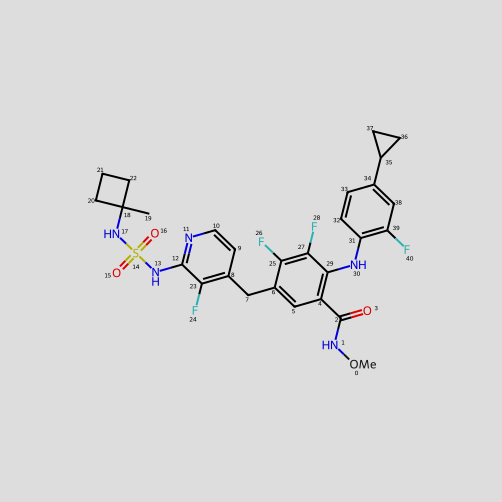 CONC(=O)c1cc(Cc2ccnc(NS(=O)(=O)NC3(C)CCC3)c2F)c(F)c(F)c1Nc1ccc(C2CC2)cc1F